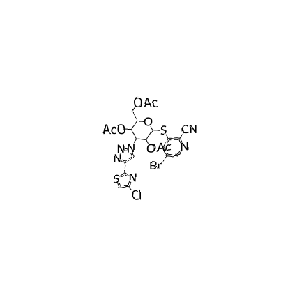 CC(=O)OCC1OC(Sc2cc(Br)cnc2C#N)C(OC(C)=O)C(n2cc(-c3nc(Cl)cs3)nn2)C1OC(C)=O